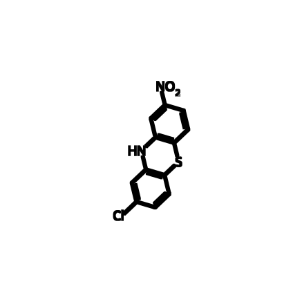 O=[N+]([O-])c1ccc2c(c1)Nc1cc(Cl)ccc1S2